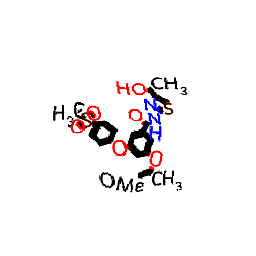 COCC(C)Oc1cc(Oc2ccc(S(C)(=O)=O)cc2)cc(C(=O)Nc2nc(C(C)O)cs2)c1